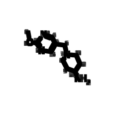 COc1ncc(CN2CCC(N)CC2)cn1